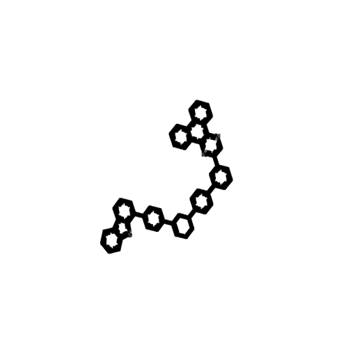 C1=C(c2ccc(-c3cccc4c3sc3ccccc34)cc2)CC(c2ccc(-c3cccc(-c4cnc5c6ccccc6c6ccccc6c5n4)c3)cc2)CC1